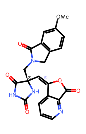 COc1ccc2c(c1)C(=O)N(C[C@@]1(/C=C3/OC(=O)c4ncccc43)NC(=O)NC1=O)C2